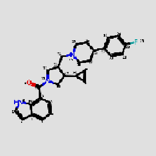 O=C(c1cccc2cc[nH]c12)N1CC(CN2CCC(c3ccc(F)cc3)CC2)C(C2CC2)C1